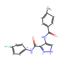 Cc1ccc(C(=O)Nc2c[nH]nc2C(=O)Nc2ccc(F)cc2)cc1